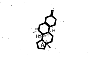 C=C1CCC2=C(C1)C[C@@H](C)[C@@H]1[C@@H]2CC[C@]2(C)CCC[C@@H]12